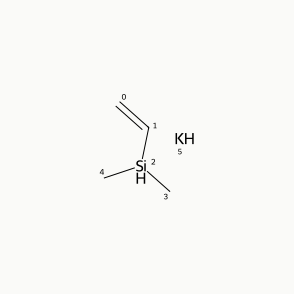 C=C[SiH](C)C.[KH]